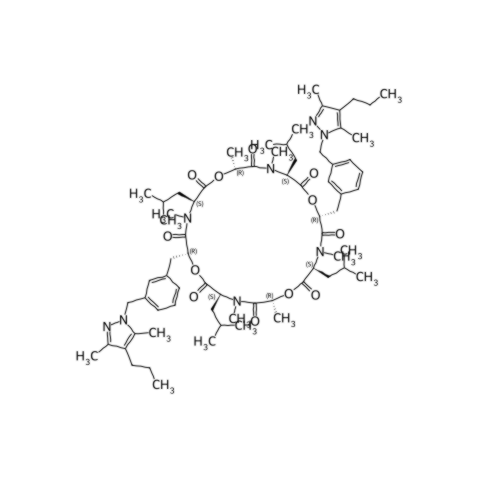 CCCc1c(C)nn(Cc2cccc(C[C@H]3OC(=O)[C@H](CC(C)C)N(C)C(=O)[C@@H](C)OC(=O)[C@H](CC(C)C)N(C)C(=O)[C@@H](Cc4cccc(Cn5nc(C)c(CCC)c5C)c4)OC(=O)[C@H](CC(C)C)N(C)C(=O)[C@@H](C)OC(=O)[C@H](CC(C)C)N(C)C3=O)c2)c1C